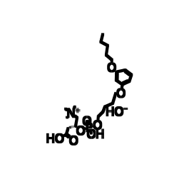 CCCCCOc1cccc(OCCCCCOP(=O)(O)O[C@H](CC(=O)O)C[N+](C)(C)C)c1.[OH-]